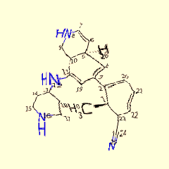 C[C@H]1C(C2=C[C@@H]3C=CNCC3C(NC3CCNCC3)=C2)=CC=CC1C#N